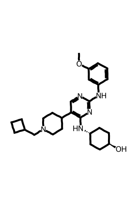 COc1cccc(Nc2ncc(C3CCN(CC4CCC4)CC3)c(N[C@H]3CC[C@H](O)CC3)n2)c1